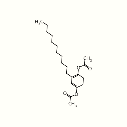 CCCCCCCCCCCC1=C(OC(C)=O)CCC(OC(C)=O)=C1